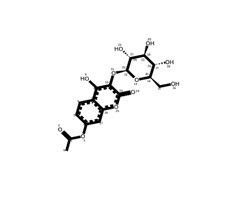 CC(=O)Oc1ccc2c(O)c(O[C@@H]3O[C@H](CO)[C@@H](O)[C@H](O)[C@H]3O)c(=O)oc2c1